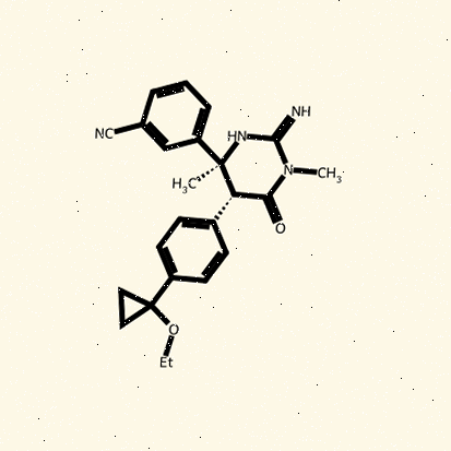 CCOC1(c2ccc([C@H]3C(=O)N(C)C(=N)N[C@]3(C)c3cccc(C#N)c3)cc2)CC1